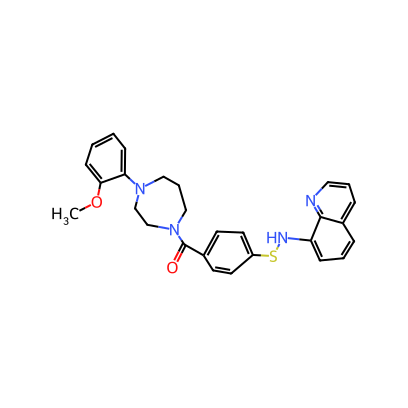 COc1ccccc1N1CCCN(C(=O)c2ccc(SNc3cccc4cccnc34)cc2)CC1